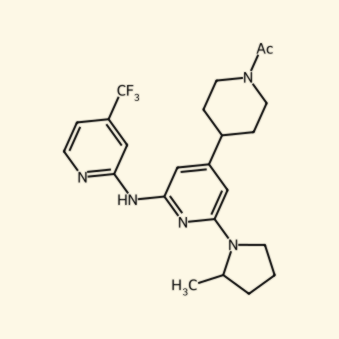 CC(=O)N1CCC(c2cc(Nc3cc(C(F)(F)F)ccn3)nc(N3CCCC3C)c2)CC1